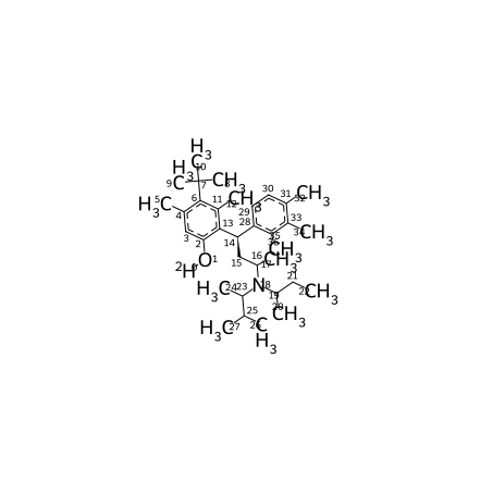 [2H]Oc1cc(C)c(C(C)(C)C)c(C)c1[C@H](CC(C)N(C(C)CC)C(C)C(C)C)c1ccc(C)c(C)c1C